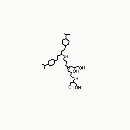 CC(C)C1CCC(CCC(CCC2CCC(C(C)C)CC2)NCCCN(CCCNC(CO)CO)CC(O)CO)CC1